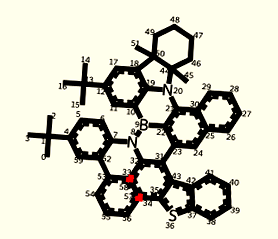 CC(C)(C)c1ccc(N2B3c4cc(C(C)(C)C)cc5c4N(c4c3c(cc3ccccc43)-c3c2ccc2sc4ccccc4c32)C2(C)CCCCC52C)c(-c2ccccc2)c1